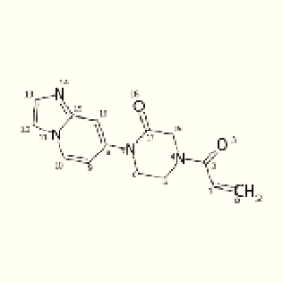 C=CC(=O)N1CCN(c2ccn3ccnc3c2)C(=O)C1